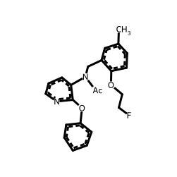 CC(=O)N(Cc1cc(C)ccc1OCCF)c1cccnc1Oc1ccccc1